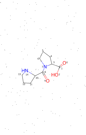 O=C(O)C1CCCN1C(=O)C1CCCN1